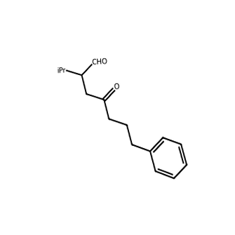 CC(C)C(C=O)CC(=O)CCCc1ccccc1